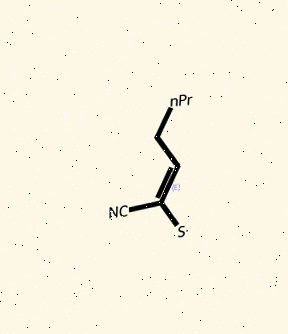 CCCC/C=C(/[S])C#N